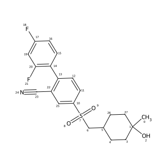 CC1(O)CCC(CS(=O)(=O)c2ccc(-c3ccc(F)cc3F)c(C#N)c2)CC1